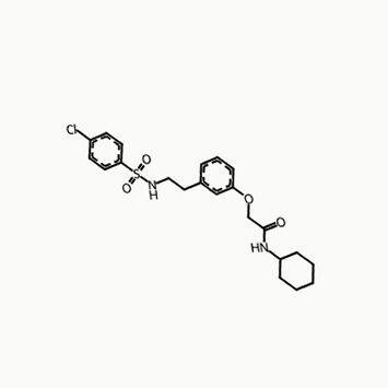 O=C(COc1cccc(CCNS(=O)(=O)c2ccc(Cl)cc2)c1)NC1CCCCC1